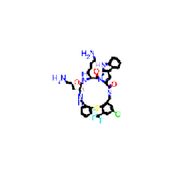 CN1C(=O)C(CCCCN)NC(=O)[C@@H](CCCN)NCc2ccccc2Sc2c(cc(Cl)cc2C(F)(F)F)CNC(=O)/C1=C/c1c[nH]c2ccccc12